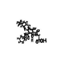 O=C(O)CNC(=O)c1c(O)c(C(=O)NC2CCCCC2)cn(Cc2ccc(C(F)(F)F)cc2F)c1=O